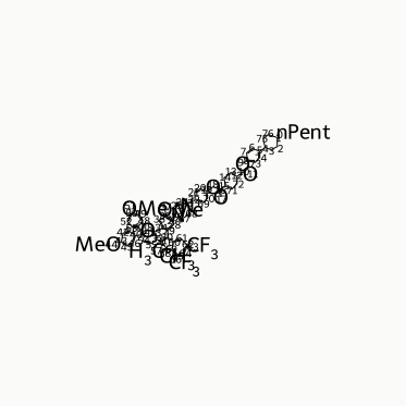 CCCCCC1CCC(c2ccc(OC(=O)C3CCC(C(=O)Oc4ccc(N5CCN(c6cc7c8c(c9c(c7cc6OC)OC(c6ccc(OC)cc6)(c6ccc(OC)cc6)C=C9)C(C)(C)c6c-8cc(C(F)(F)F)cc6C(F)(F)F)CC5)cc4)CC3)cc2)CC1